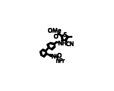 CCCC(=O)[N+]#Cc1ccccc1-c1ccc(CNc2c(C(=O)OC)sc(C)c2C#N)cc1